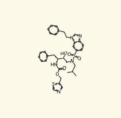 CC(C)CN(CC(O)C(Cc1ccccc1)NC(=O)OCc1cncs1)S(=O)(=O)c1ccc2ncn(CCc3ccccc3)c2c1